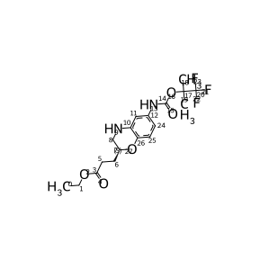 CCOC(=O)CC[C@H]1CNc2cc(NC(=O)OC(C)(C)C(F)(F)F)ccc2O1